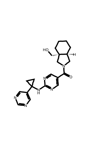 O=C(c1cnc(NC2(c3cncnc3)CC2)nc1)N1C[C@@H]2CCCC[C@]2(CO)C1